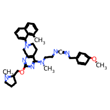 COc1ccc(CN=C=NCCN(C)c2nc(OCC3CCCN3C)nc3c2CCN(c2cccc4cccc(C)c24)C3)cc1